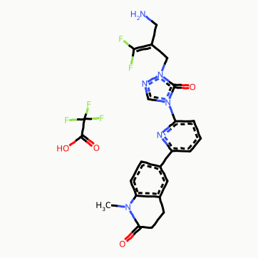 CN1C(=O)CCc2cc(-c3cccc(-n4cnn(CC(CN)=C(F)F)c4=O)n3)ccc21.O=C(O)C(F)(F)F